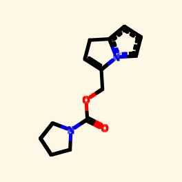 O=C(OCC1=CCc2cccn21)N1CCCC1